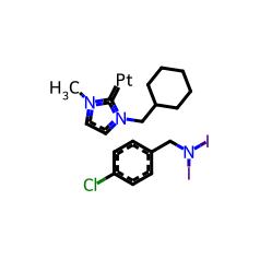 Clc1ccc(CN(I)I)cc1.Cn1ccn(CC2CCCCC2)[c]1=[Pt]